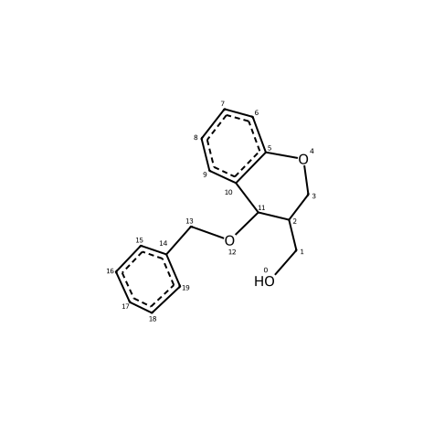 OCC1COc2ccccc2C1OCc1ccccc1